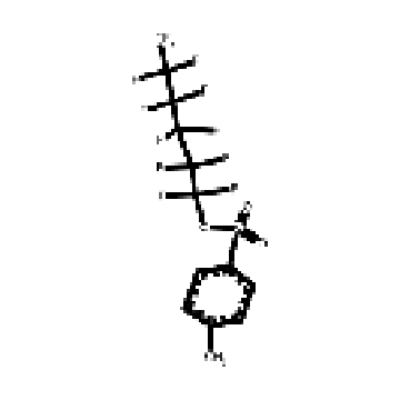 Cc1ccc(S(=O)(=O)OC(F)(F)C(F)(F)C(F)(F)C(F)(F)C(F)(F)C(F)(F)F)cc1